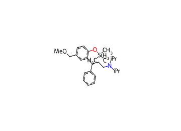 COCc1ccc(O[Si](C)(C)C)c(C(CCN(C(C)C)C(C)C)c2ccccc2)c1